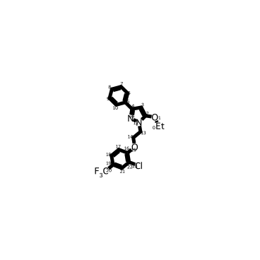 CCOc1cc(-c2ccccc2)nn1CCOc1ccc(C(F)(F)F)cc1Cl